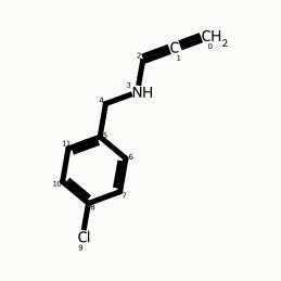 C=C=CNCc1ccc(Cl)cc1